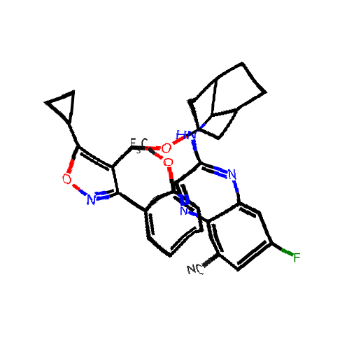 N#Cc1cc(F)cc2nc(NC3C4CCC3CC(OCc3c(-c5ccccc5OC(F)(F)F)noc3C3CC3)C4)cnc12